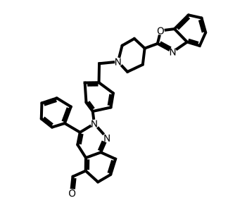 O=CC1=C2C=C(c3ccccc3)N(c3ccc(CN4CCC(c5nc6ccccc6o5)CC4)cc3)N=C2C=CC1